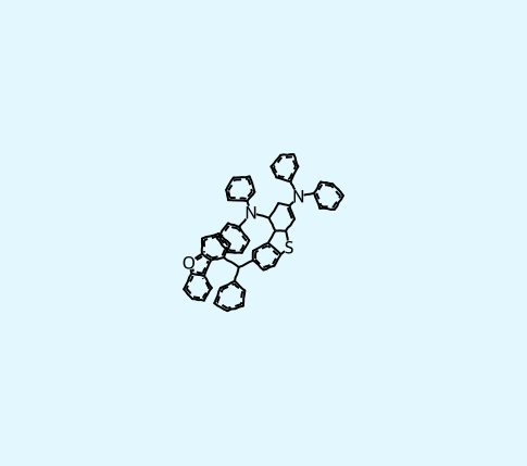 C1=C(N(c2ccccc2)c2ccccc2)CC(N(c2ccccc2)c2ccccc2)C2c3cc(C(c4ccccc4)c4cccc5oc6ccccc6c45)ccc3SC12